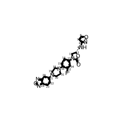 O=C1O[C@@H](CNc2ccon2)CN1c1ccc(N2CCN(c3ccc4nonc4c3)CC2)c(F)c1